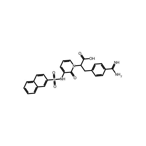 N=C(N)c1ccc(CC(C(=O)O)n2cccc(NS(=O)(=O)c3ccc4ccccc4c3)c2=O)cc1